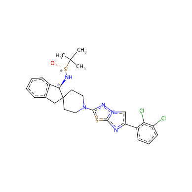 CC(C)(C)[S@@+]([O-])N[C@@H]1c2ccccc2CC12CCN(c1nn3cc(-c4cccc(Cl)c4Cl)nc3s1)CC2